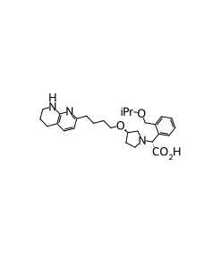 CC(C)OCc1ccccc1[C@H](C(=O)O)N1CC[C@@H](OCCCCc2ccc3c(n2)NCCC3)C1